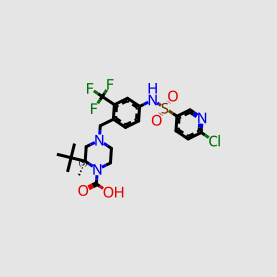 CC(C)(C)[C@@]1(C)CN(Cc2ccc(NS(=O)(=O)c3ccc(Cl)nc3)cc2C(F)(F)F)CCN1C(=O)O